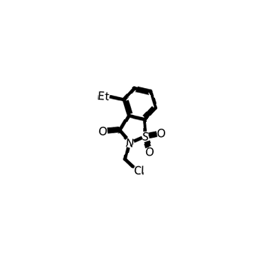 CCc1cccc2c1C(=O)N(CCl)S2(=O)=O